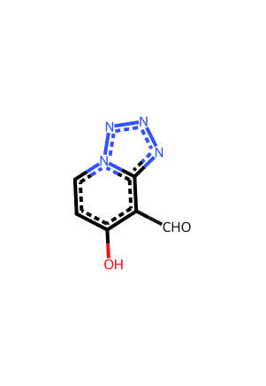 O=Cc1c(O)ccn2nnnc12